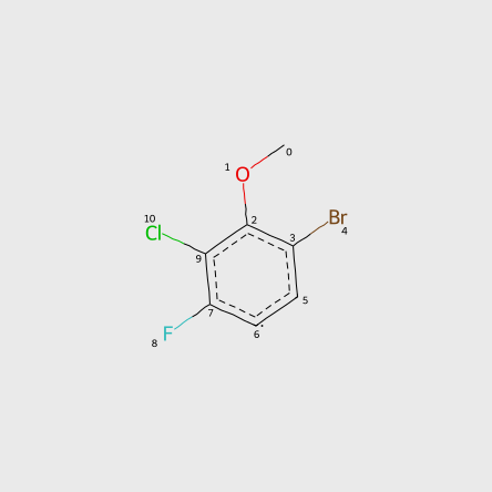 COc1c(Br)c[c]c(F)c1Cl